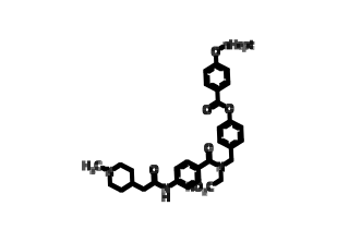 CCCCCCCOc1ccc(C(=O)Oc2ccc(CN(CC(=O)O)C(=O)c3ccc(NC(=O)CC4CCN(C)CC4)cc3)cc2)cc1